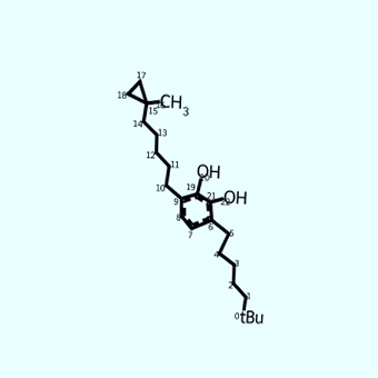 CC(C)(C)CCCCCc1ccc(CCCCCC2(C)CC2)c(O)c1O